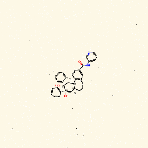 Cc1ncccc1NC(=O)c1ccc2c(c1)CCC[C@H]1C[C@@](O)(c3ccccc3)[C@H](O)C[C@@]21Cc1ccccc1